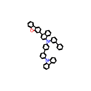 c1ccc(-c2cccc(N(c3ccc(-c4cccc(-n5c6ccccc6c6ccccc65)c4)cc3)c3ccc(-c4ccc5c(c4)oc4ccccc45)c4ccccc34)c2)cc1